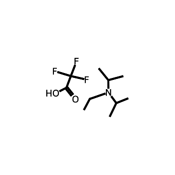 CCN(C(C)C)C(C)C.O=C(O)C(F)(F)F